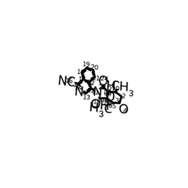 CC12CC(=O)C(C)(O1)[C@H]1C(=O)N(c3cnc(C#N)c4ccccc34)C(=O)[C@H]12